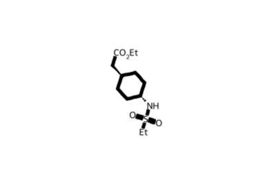 CCOC(=O)C[C@H]1CC[C@H](NS(=O)(=O)CC)CC1